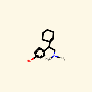 CN(C)CC(C1=CCCCC1)c1ccc(O)cc1